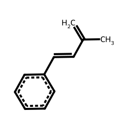 C=C(C)C=Cc1ccccc1